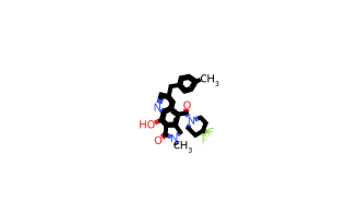 Cc1ccc(Cc2cnc3c(O)c4c(c(C(=O)N5CCC(F)(F)CC5)c3c2)CN(C)C4=O)cc1